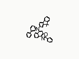 CC1(C)c2ccccc2-c2ccc(N(c3cccc(-c4ccccc4)c3)c3cc4oc(-c5ccccc5)nc4c4ccccc34)cc21